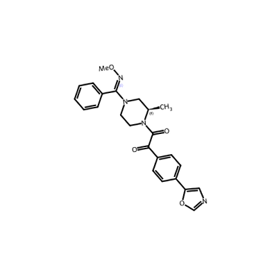 CO/N=C(\c1ccccc1)N1CCN(C(=O)C(=O)c2ccc(-c3cnco3)cc2)[C@H](C)C1